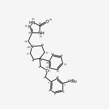 CC(C)(C)c1cccc(COCC2(c3ccccc3)CCN(Cc3n[nH]c(=O)[nH]3)CC2)c1